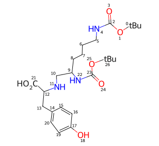 CC(C)(C)OC(=O)NCCCCC(CNC(Cc1ccc(O)cc1)C(=O)O)NC(=O)OC(C)(C)C